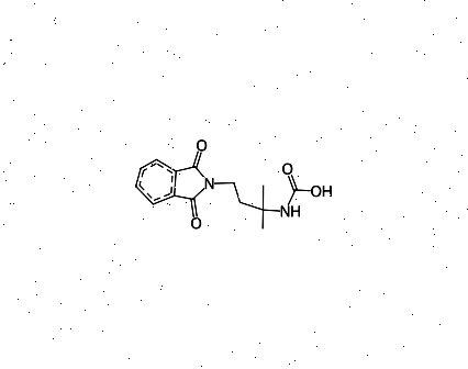 CC(C)(CCN1C(=O)c2ccccc2C1=O)NC(=O)O